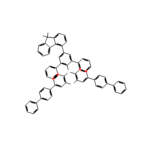 CC1(C)c2ccccc2-c2c(-c3cc(-c4ccccc4)c(N4c5ccc(-c6ccc(-c7ccccc7)cc6)cc5Oc5cc(-c6ccc(-c7ccccc7)cc6)ccc54)c(-c4ccccc4)c3)cccc21